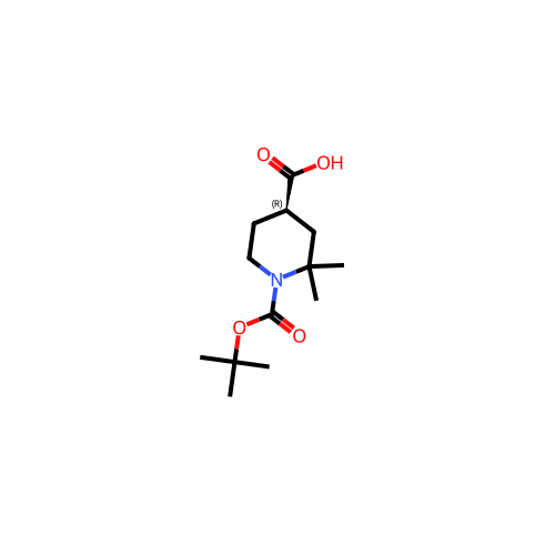 CC(C)(C)OC(=O)N1CC[C@@H](C(=O)O)CC1(C)C